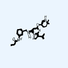 C=CC(=O)Nc1cccc(CNc2cc(OC3CCC(C)(C)NC3)nc3c(C(C)C)cnn23)c1